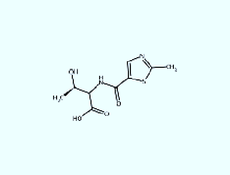 Cc1ncc(C(=O)NC(C(=O)O)[C@@H](C)O)s1